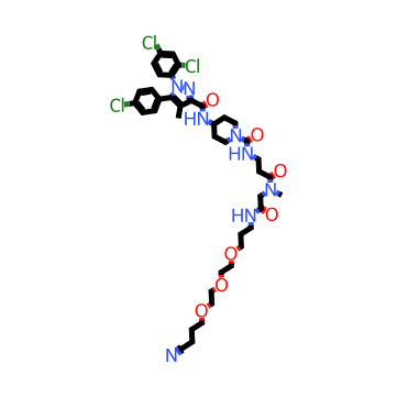 Cc1c(C(=O)NC2CCN(C(=O)NCCC(=O)N(C)CC(=O)NCCCOCCOCCOCCCC#N)CC2)nn(-c2ccc(Cl)cc2Cl)c1-c1ccc(Cl)cc1